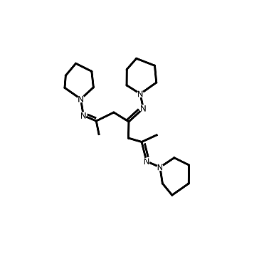 CC(CC(CC(C)=NN1CCCCC1)=NN1CCCCC1)=NN1CCCCC1